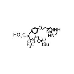 CC(C)(C)C(=O)OCC1c2cc(OCCc3cn4c(n3)NCCN4)ccc2C[C@@H](CC(=O)O)C(=O)N1CC(F)(F)F